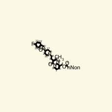 CCCCCCCCCC(=O)OCc1cccn2c(=O)c(CCN3CCC(N4Cc5ccc(F)cc5O4)CC3)c(C)nc12